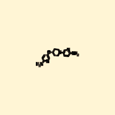 Nc1ccc(OC2CCN(c3ccc(N)nc3)CC2)cn1